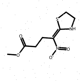 COC(=O)CC/C(=C1/NCCS1)[N+](=O)[O-]